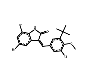 COc1c(Cl)cc(C=C2C(=O)Nc3c(Br)cc(Br)cc32)cc1C(C)(C)C